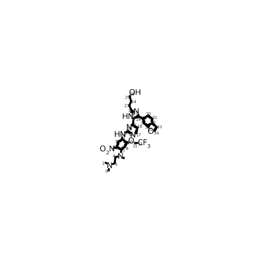 CN(C)CCN(C)c1cc(OCC(F)(F)F)c(Nc2nccc(-c3[nH]c(CCCO)nc3-c3ccc4ccoc4c3)n2)cc1[N+](=O)[O-]